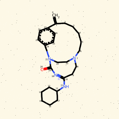 C=C1CCCCCN2CC/C(NC3CCCCC3)=N\C(=O)N(CC2)c2ccc1cc2